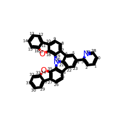 c1ccc(-c2cc3c4ccc5c6ccccc6oc5c4n4c3c(c2)c2ccc3c5ccccc5oc3c24)nc1